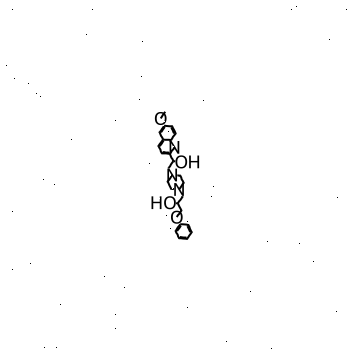 COc1ccc2nc(C(O)CN3CCN(CC(O)COc4ccccc4)CC3)ccc2c1